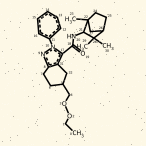 CCOOCC1CCc2nn(-c3ccccc3)c(C(=O)NC3C4(C)CCC(C4)C3(C)C)c2C1